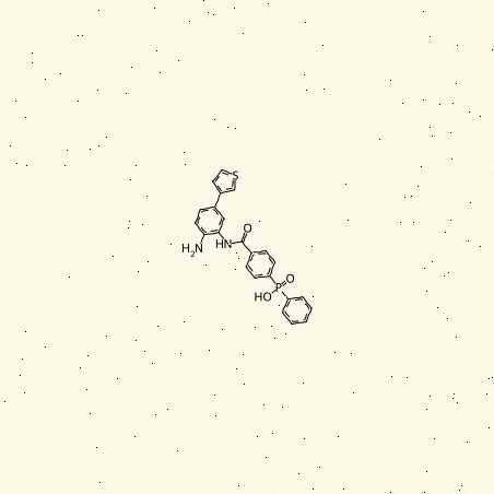 Nc1ccc(-c2ccsc2)cc1NC(=O)c1ccc(P(=O)(O)c2ccccc2)cc1